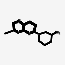 Cc1cnc2ccc(N3CCCC(N)C3)nc2n1